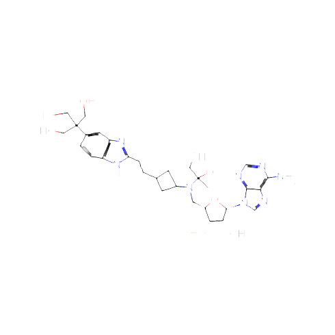 CC(O)(CO)N(C[C@H]1O[C@@H](n2cnc3c(N)ncnc32)[C@H](O)[C@@H]1O)C1CC(CCc2nc3cc(C(CO)(CO)CO)ccc3[nH]2)C1